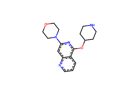 c1cnc2cc(N3CCOCC3)nc(OC3CCNCC3)c2c1